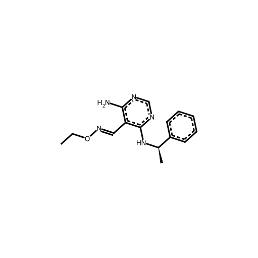 CCO/N=C/c1c(N)ncnc1N[C@H](C)c1ccccc1